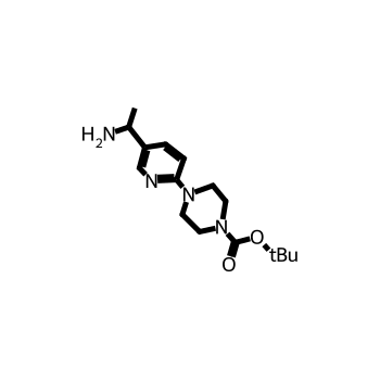 CC(N)c1ccc(N2CCN(C(=O)OC(C)(C)C)CC2)nc1